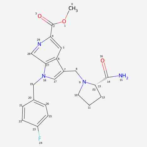 COC(=O)c1cc2c(CN3CCC[C@H]3C(N)=O)cn(Cc3ccc(F)cc3)c2cn1